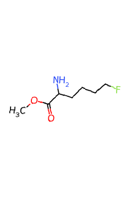 COC(=O)C(N)CCCCF